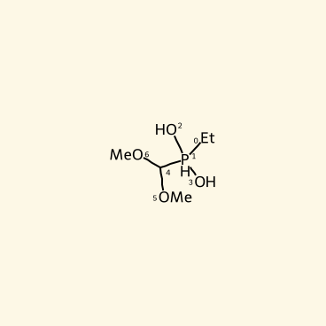 CC[PH](O)(O)C(OC)OC